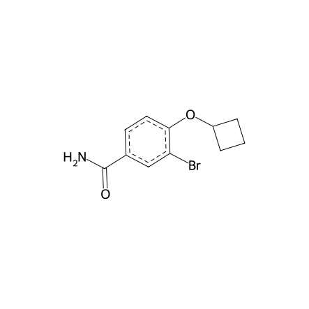 NC(=O)c1ccc(OC2CCC2)c(Br)c1